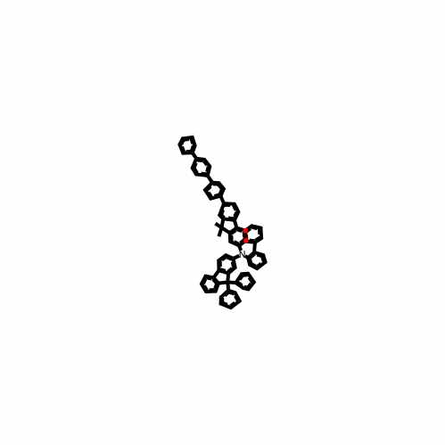 CC1(C)c2cc(-c3ccc(-c4ccc(-c5ccccc5)cc4)cc3)ccc2-c2ccc(N(c3ccc4c(c3)C(c3ccccc3)(c3ccccc3)c3ccccc3-4)c3ccccc3-c3ccccc3)cc21